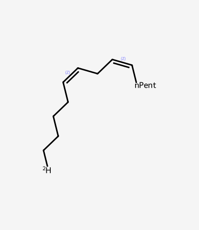 [2H]CCCC/C=C\C/C=C\CCCCC